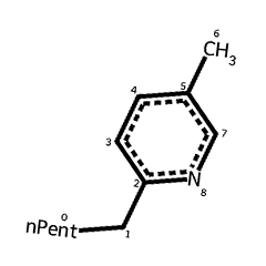 CCCCCCc1ccc(C)cn1